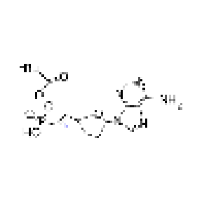 CC(C)(C)C(=O)OOP(=O)(O)/C=C/C1CCC(n2cnc3c(N)ncnc32)O1